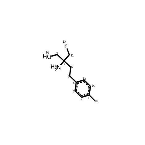 Cc1ccc(CCC(N)(CO)CF)cc1